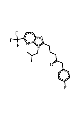 CC(C)Cn1c(CCCC(=O)Cc2ccc(F)cc2)nc2ccc(C(F)(F)F)nc21